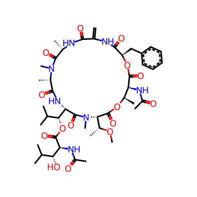 C=C1NC(=O)[C@@H](Cc2ccccc2)OC(=O)[C@@H](NC(C)=O)[C@@H](C)OC(=O)[C@H]([C@@H](C)OC)N(C)C(=O)[C@H]([C@H](OC(=O)[C@@H](NC(C)=O)[C@H](O)C(C)C)C(C)C)NC(=O)[C@H](C)N(C)C(=O)[C@H](C)NC1=O